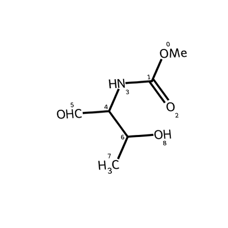 COC(=O)NC(C=O)C(C)O